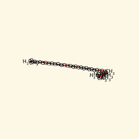 C=C(C)C(=O)OCCOCCOCCOCCOCCOCCOCCOCCOCCOCCOCCOCCOCCOCCOCCOCCOCCOCCOCCOCCOCCOCCOCCOCCOCCOCCOCC(C)OCC(C)OCC(C)OCC(C)OCC(C)OCC(C)OC